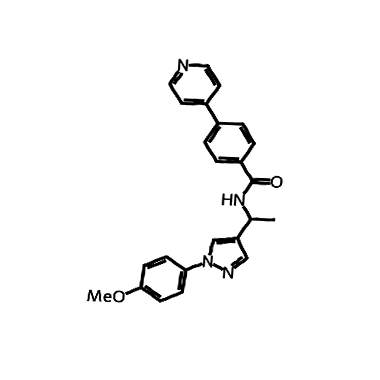 COc1ccc(-n2cc(C(C)NC(=O)c3ccc(-c4ccncc4)cc3)cn2)cc1